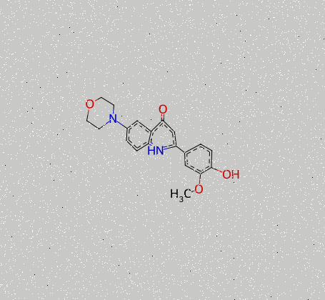 COc1cc(-c2cc(=O)c3cc(N4CCOCC4)ccc3[nH]2)ccc1O